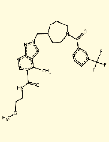 COCCNC(=O)c1ccc2nn(CC3CCCN(C(=O)c4cccc(C(F)(F)F)c4)CC3)cc2c1C